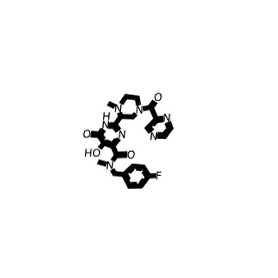 CN(Cc1ccc(F)cc1)C(=O)c1nc(C2CN(C(=O)c3cnccn3)CCN2C)[nH]c(=O)c1O